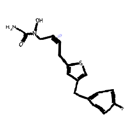 NC(=O)N(O)C/C=C\Cc1cc(Cc2ccc(F)cc2)cs1